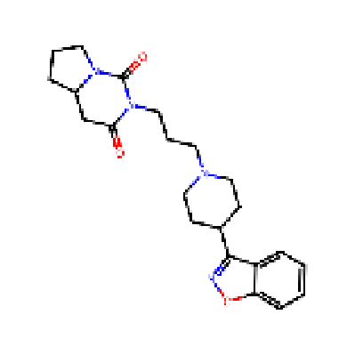 O=C1CC2CCCN2C(=O)N1CCCN1CCC(c2noc3ccccc23)CC1